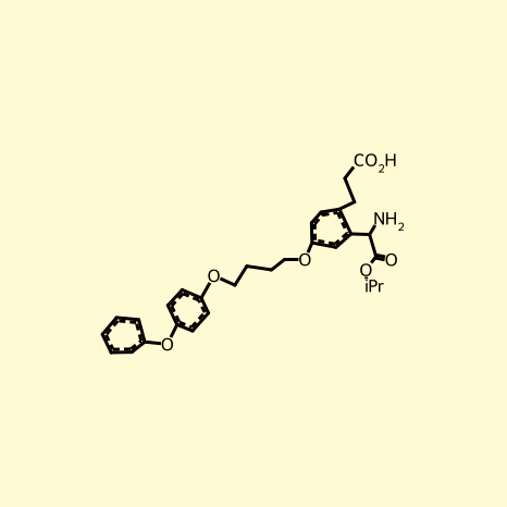 CC(C)OC(=O)C(N)c1cc(OCCCCOc2ccc(Oc3ccccc3)cc2)ccc1CCC(=O)O